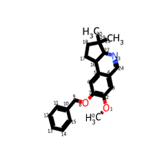 COc1cc2c(cc1OCc1ccccc1)C1CCC(C)(C)C1N=C2